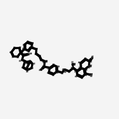 O=C(NCCCCc1cccc(C2(C(=O)OC3CN4CCC3CC4)CCCCC2)c1)c1ccc(CNC[C@H](O)c2ccc(O)c3[nH]c(=O)ccc23)nc1